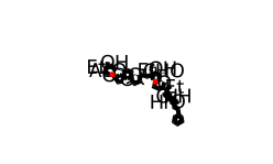 CCC(C(=O)NNC(=O)/C=C/c1ccccc1)[C@H]1CC[C@H](C)[C@H]([C@@H](C)[C@H](O)[C@](C)(C=O)C[C@H](CC)[C@H]2O[C@]3(C=C[C@@H](OC(C)=O)[C@]4(CC[C@@](C)([C@H]5CC[C@](O)(CC)[C@H](C)O5)O4)O3)[C@H](C)C[C@@H]2C)O1